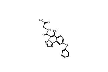 O=C(O)CNC(=O)c1c(O)c2ccc(Oc3ccccc3)cc2c2ncnn12